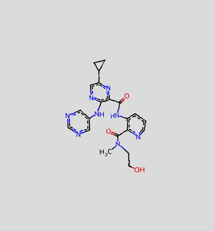 CN(CCO)C(=O)c1ncccc1NC(=O)c1nc(C2CC2)cnc1Nc1cncnc1